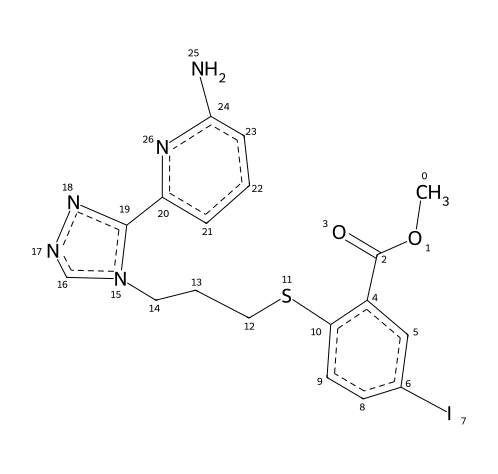 COC(=O)c1cc(I)ccc1SCCCn1cnnc1-c1cccc(N)n1